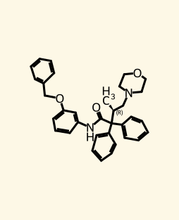 C[C@@H](CN1CCOCC1)C(C(=O)Nc1cccc(OCc2ccccc2)c1)(c1ccccc1)c1ccccc1